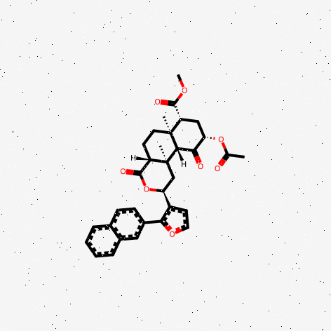 COC(=O)[C@@H]1C[C@H](OC(C)=O)C(=O)[C@H]2[C@@]1(C)CC[C@H]1C(=O)O[C@H](c3ccoc3-c3ccc4ccccc4c3)C[C@]21C